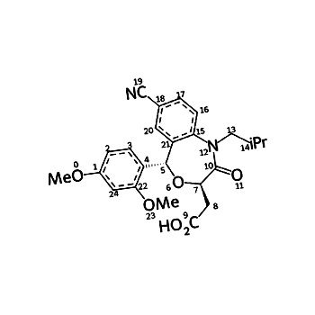 COc1ccc([C@H]2O[C@H](CC(=O)O)C(=O)N(CC(C)C)c3ccc(C#N)cc32)c(OC)c1